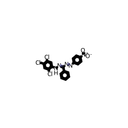 O=[N+]([O-])c1ccc(/N=N/C(=N/Nc2cc(Cl)c(Cl)cc2Cl)c2ccccc2)cc1